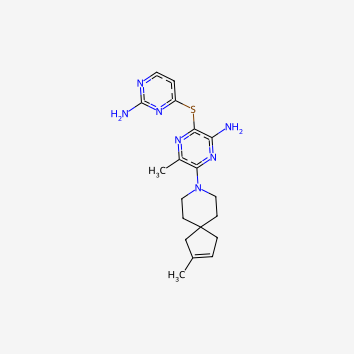 CC1=CCC2(CCN(c3nc(N)c(Sc4ccnc(N)n4)nc3C)CC2)C1